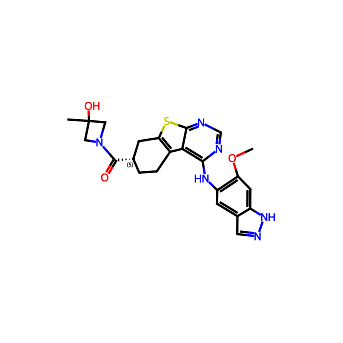 COc1cc2[nH]ncc2cc1Nc1ncnc2sc3c(c12)CC[C@H](C(=O)N1CC(C)(O)C1)C3